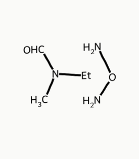 CCN(C)C=O.NON